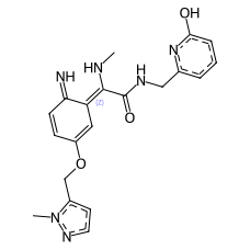 CN/C(C(=O)NCc1cccc(O)n1)=C1/C=C(OCc2ccnn2C)C=CC1=N